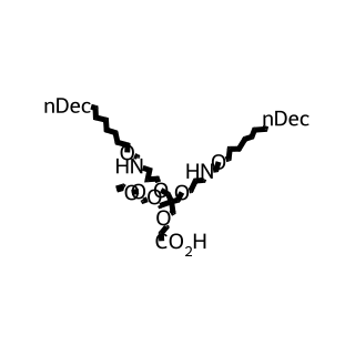 C=COOCOCC(COCCCNCOCCCCCCCCCCCCCCCCC)(COCCCNCOCCCCCCCCCCCCCCCCC)COCCC(=O)O